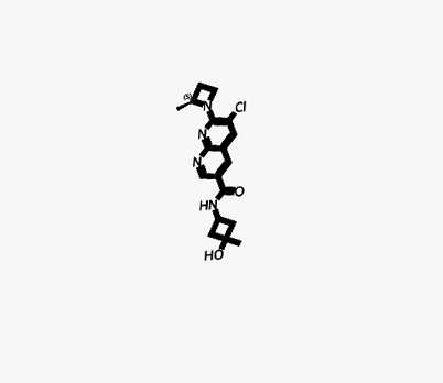 C[C@H]1CCN1c1nc2ncc(C(=O)NC3CC(C)(O)C3)cc2cc1Cl